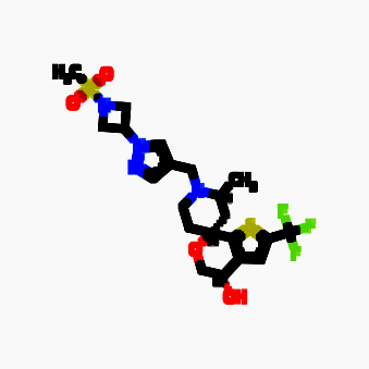 C[C@H]1C[C@@]2(CCN1Cc1cnn(C3CN(S(C)(=O)=O)C3)c1)OC[C@@H](O)c1cc(C(F)(F)F)sc12